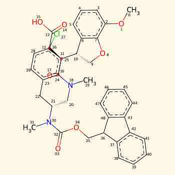 COc1cccc2c1OC[C@@H]2[C@H](CC(=O)O)C(=O)N(C)C[C@@H](Cc1ccc(Cl)cc1)N(C)C(=O)OCC1c2ccccc2-c2ccccc21